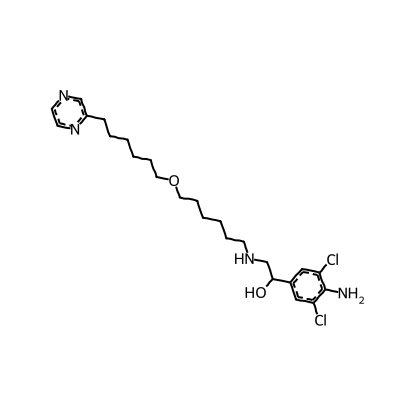 Nc1c(Cl)cc(C(O)CNCCCCCCOCCCCCCc2cnccn2)cc1Cl